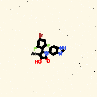 CC(=O)C1=C(O)C(=O)N(c2ccc3[nH]cnc3c2)C1c1c(F)cc(Br)cc1F